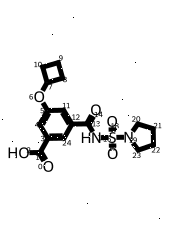 O=C(O)c1cc(OC2CCC2)cc(C(=O)NS(=O)(=O)N2CCCC2)c1